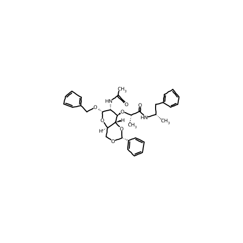 CC(=O)N[C@H]1[C@@H](OCc2ccccc2)O[C@@H]2CO[C@@H](c3ccccc3)O[C@H]2[C@@H]1O[C@@H](C)C(=O)N[C@@H](C)Cc1ccccc1